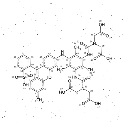 C=c1ccc2c(c1)Oc1cc(Nc3c(C)c(NC(=O)N(CC(=O)O)CC(=O)O)c(C)c(NC(=O)N(CC(=O)O)CC(=O)O)c3C)ccc1C=2c1ccccc1S(=O)(=O)O